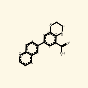 O=C(O)c1cc(-c2ccc3ncccc3c2)cc2c1OCCO2